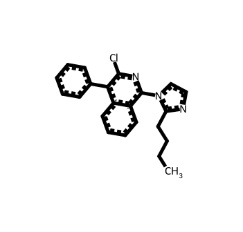 CCCCc1nccn1-c1nc(Cl)c(-c2ccccc2)c2ccccc12